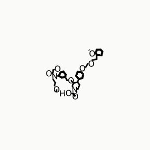 COCCCN1C(=O)COc2ccc(COC3CN(C(=O)O)CCC3c3ccc(OCCOCCc4ccccc4OC)cc3)cc21